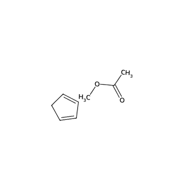 C1=CCC=C1.COC(C)=O